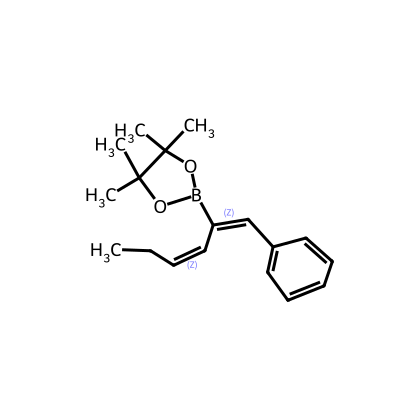 CC/C=C\C(=C/c1ccccc1)B1OC(C)(C)C(C)(C)O1